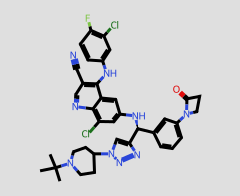 CC(C)(C)N1CCC(n2cc([C@@H](Nc3cc(Cl)c4ncc(C#N)c(Nc5ccc(F)c(Cl)c5)c4c3)c3cccc(N4CCC4=O)c3)nn2)CC1